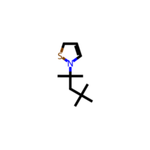 CC(C)(C)CC(C)(C)N1C=CCS1